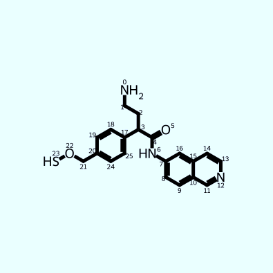 NCCC(C(=O)Nc1ccc2cnccc2c1)c1ccc(COS)cc1